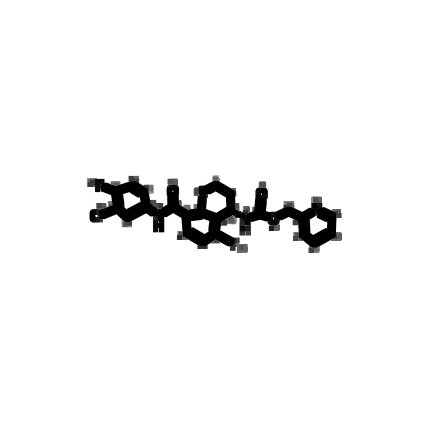 O=C(N[C@H]1CCSc2c(C(=O)Nc3ccc(F)c(Cl)c3)ccc(F)c21)OCc1ccccn1